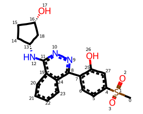 CS(=O)(=O)c1ccc(-c2nnc(N[C@@H]3CC[C@H](O)C3)c3ccccc23)c(O)c1